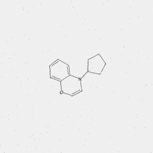 C1=CN(C2CCCC2)c2ccccc2O1